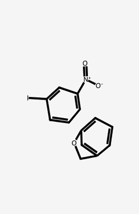 O=[N+]([O-])c1cccc(I)c1.c1cc2cc(c1)OC2